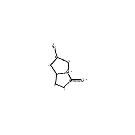 [2H]C1CC2CCC(=O)N2C1